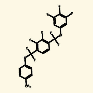 Cc1ccc(OC(F)(F)c2ccc(C(F)(F)Oc3cc(F)c(F)c(F)c3)c(F)c2F)cc1